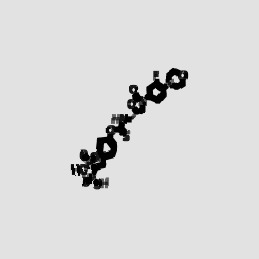 O=C1O[C@@H](CNC(=S)Oc2ccc(CC([PH](=O)O)P(=O)(O)O)cc2)CN1c1ccc(N2CCOCC2)c(F)c1